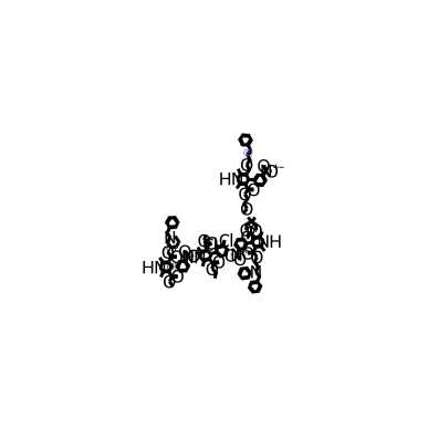 CC1=C(C(=O)OCCN(Cc2ccccc2)c2ccccc2)C(c2cccc([N+](=O)[O-])c2)C(P2(=O)OCC(C)(C)CO2)=C(C)N1.CCOC(=O)C1=C(C)NC(C)=C(C(=O)OC)C1c1cccc(Cl)c1Cl.COC(=O)C1=C(C)NC(C)=C(C(=O)O[C@@H]2CCCN(Cc3ccccc3)C2)[C@@H]1c1cccc([N+](=O)[O-])c1.COCCOC(=O)C1=C(C)NC(C)=C(COC/C=C/c2ccccc2)C1c1cccc([N+](=O)[O-])c1